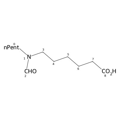 CCCCCN(C=O)CCCCCC(=O)O